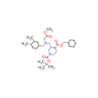 COC(=O)CN(Cc1ccc(C)c(C)c1)CC1CN(C(=O)OC(C)(C)C)CCN1C(=O)OCc1ccccc1